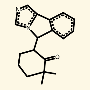 CC1(C)CCCC(C2c3ccccc3-c3cncn32)C1=O